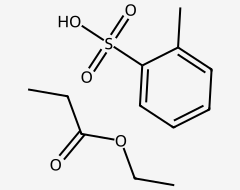 CCOC(=O)CC.Cc1ccccc1S(=O)(=O)O